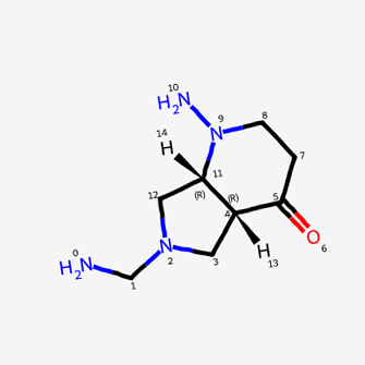 NCN1C[C@H]2C(=O)CCN(N)[C@H]2C1